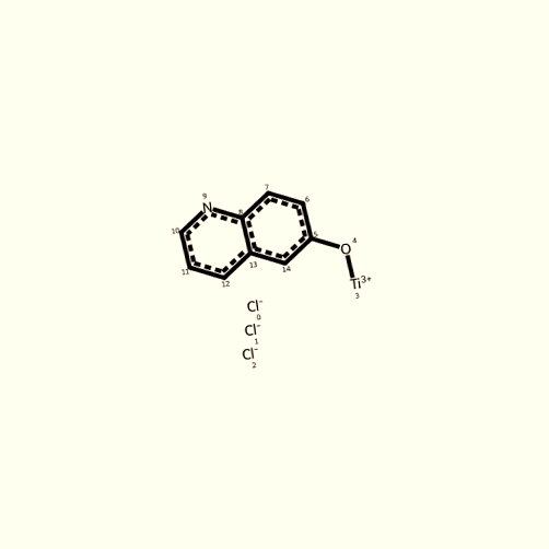 [Cl-].[Cl-].[Cl-].[Ti+3][O]c1ccc2ncccc2c1